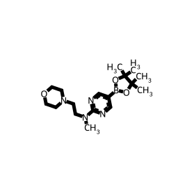 CN(CCN1CCOCC1)c1ncc(B2OC(C)(C)C(C)(C)O2)cn1